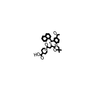 CC(=O)c1ccc2c(c1)C(c1cccc3ccccc13)SC(CC(=O)N1CCC(C(=O)O)CC1)C(=O)N2CC(C)(C)C